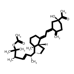 C=C1CC[C@@](O)(C(C)=O)C/C1=C/C=C1\CCC[C@]2(C)[C@@H]([C@H](C)/C=C/[C@H](C)C(C)(C)OC(C)=O)CC[C@@H]12